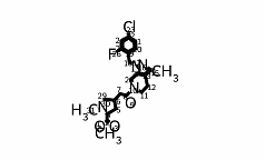 COC(=O)C1CC(CC(=O)N2CCc3c(C)nn(Cc4ccc(Cl)cc4F)c3C2)CN1C